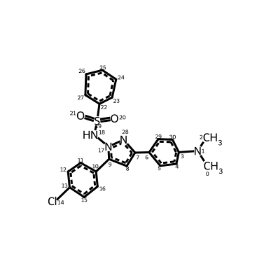 CN(C)c1ccc(-c2cc(-c3ccc(Cl)cc3)n(NS(=O)(=O)c3ccccc3)n2)cc1